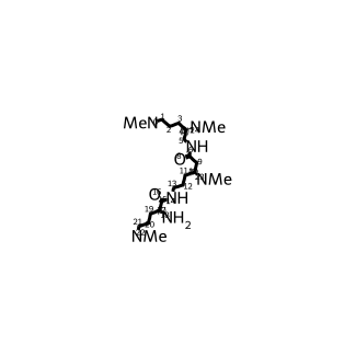 CNCCC[C@@H](CNC(=O)C[C@H](CCCNC(=O)[C@@H](N)CCCNC)NC)NC